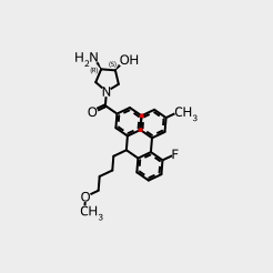 COCCCCC(c1cccc(C(=O)N2C[C@@H](N)[C@@H](O)C2)c1)c1cccc(F)c1-c1cccc(C)c1